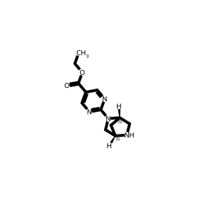 CCOC(=O)c1cnc(N2C[C@@H]3C[C@H]2CN3)nc1